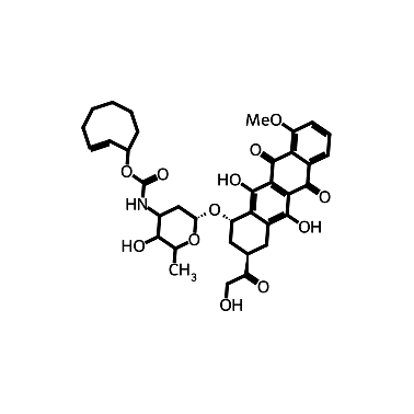 COc1cccc2c1C(=O)c1c(O)c3c(c(O)c1C2=O)C[C@@H](C(=O)CO)C[C@@H]3O[C@H]1CC(NC(=O)OC2/C=C/CCCCC2)C(O)C(C)O1